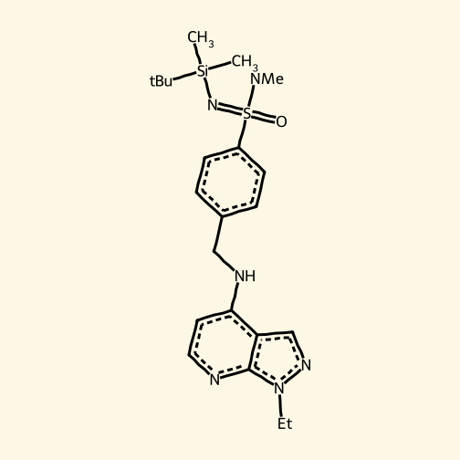 CCn1ncc2c(NCc3ccc(S(=O)(=N[Si](C)(C)C(C)(C)C)NC)cc3)ccnc21